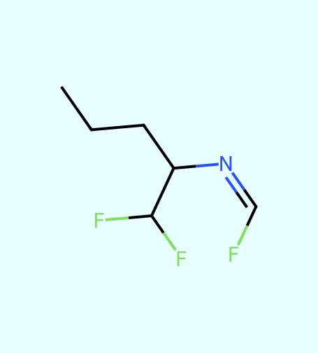 CCCC(/N=C\F)C(F)F